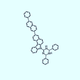 c1ccc(-c2ccc3cc(-c4ccc5c(ccc6c5c5ccccc5n6C5=NC(c6ccccc6)NC(c6ccccc6)N5)c4)ccc3c2)cc1